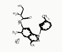 CCc1nn(-c2cccc(C)c2)c2cc(NC(=O)[C@@H](N)CO)c(C)cc12.Cl